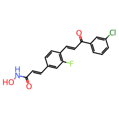 O=C(/C=C/c1ccc(/C=C/C(=O)c2cccc(Cl)c2)c(F)c1)NO